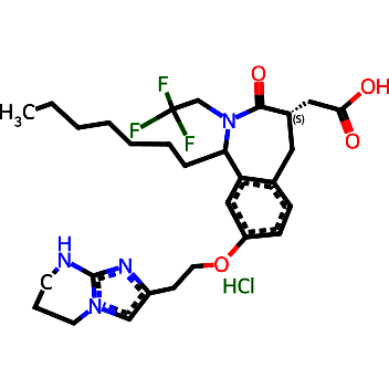 CCCCCCCC1c2cc(OCCc3cn4c(n3)NCCC4)ccc2C[C@@H](CC(=O)O)C(=O)N1CC(F)(F)F.Cl